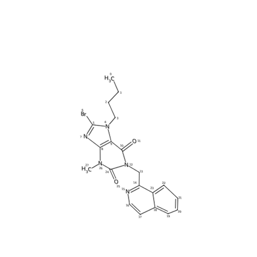 CCCCn1c(Br)nc2c1c(=O)n(Cc1nccc3ccccc13)c(=O)n2C